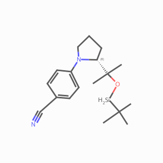 CC(C)(C)[SiH2]OC(C)(C)[C@H]1CCCN1c1ccc(C#N)cc1